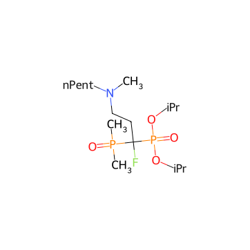 CCCCCN(C)CCC(F)(P(C)(C)=O)P(=O)(OC(C)C)OC(C)C